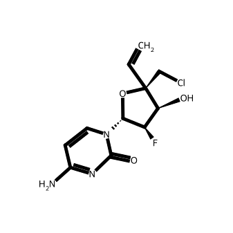 C=C[C@@]1(CCl)O[C@@H](n2ccc(N)nc2=O)[C@H](F)[C@@H]1O